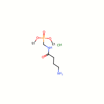 CCOP(=O)(CNC(=O)CCCN)OCC.Cl